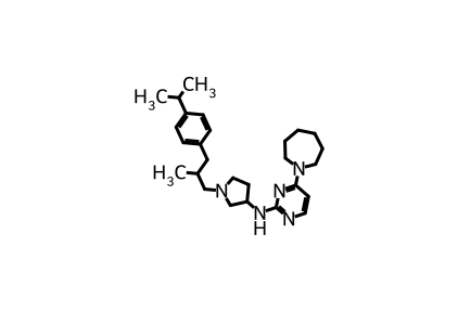 CC(Cc1ccc(C(C)C)cc1)CN1CCC(Nc2nccc(N3CCCCCC3)n2)C1